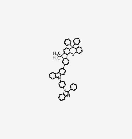 CC1(C)c2cc(-c3ccc4c(c3)c3ccccc3n4-c3ccc(-n4c(-c5ccccc5)nc5ccccc54)cc3)ccc2-c2c1ccc1c2Sc2ccccc2C1(c1ccccc1)c1ccccc1